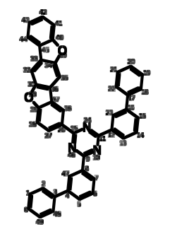 c1ccc(-c2cccc(-c3nc(-c4cccc(-c5ccccc5)c4)nc(-c4ccc5oc6cc7c(cc6c5c4)oc4ccccc47)n3)c2)cc1